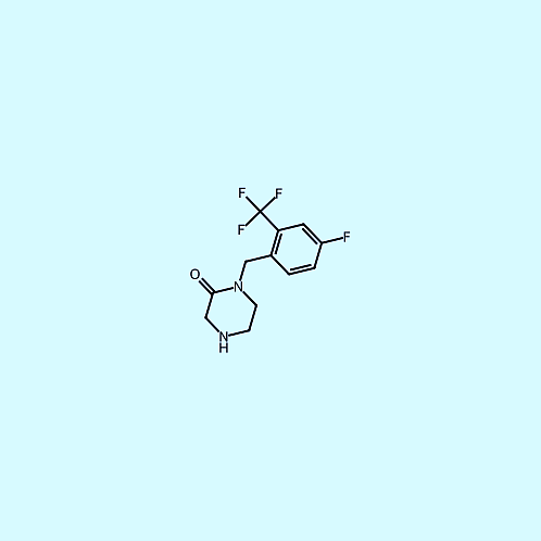 O=C1CNCCN1Cc1ccc(F)cc1C(F)(F)F